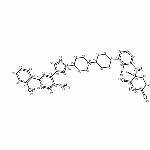 C[C@@]1(Nc2cccc([C@H]3CC[C@H](N4CCC(n5cc(-c6cc(-c7ccccc7O)nnc6N)cn5)CC4)CC3)c2F)CCC(=O)NC1=O